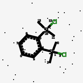 C[Si](C)(Cl)c1ccccc1[Si](C)(C)Cl